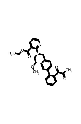 CCOC(=O)c1cccnc1N(CCOC)Cc1ccc(-c2ccccc2C(=O)C(C)=O)cc1